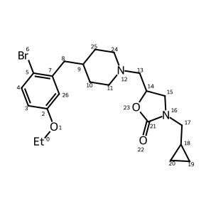 CCOc1ccc(Br)c(CC2CCN(CC3CN(CC4CC4)C(=O)O3)CC2)c1